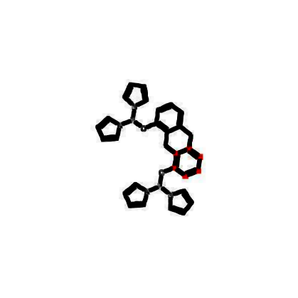 c1ccc2c(c1)C1c3cccc(OP(n4cccc4)n4cccc4)c3C2c2c(OP(n3cccc3)n3cccc3)cccc21